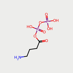 NCCCC(=O)OP(=O)(O)OP(=O)(O)O